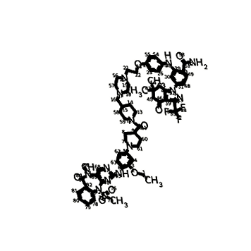 CCOc1cc(N2CCC(C(=O)N3CCC(CN4CCN(CCOc5ccc(Nc6cc(-n7nc(C(F)(F)F)c8c7CC(C)(C)CC8=O)ccc6C(N)=O)cc5)CC4)CC3)CC2)ccc1Nc1ncc2c(n1)N(S(C)(=O)=O)c1ccccc1C(=O)N2C